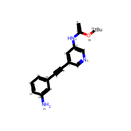 C=C(Nc1cncc(C#Cc2cccc(N)c2)c1)OC(C)(C)C